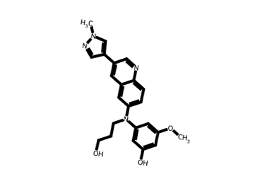 COc1cc(O)cc(N(CCCO)c2ccc3ncc(-c4cnn(C)c4)cc3c2)c1